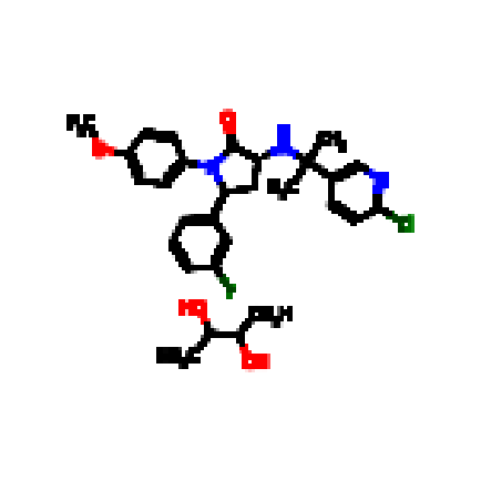 CC(C)(N[C@@H]1C[C@@H](c2cccc(F)c2)N(c2ccc(OC(F)(F)F)cc2)C1=O)c1ccc(Cl)nc1.O=C(O)C(O)C(O)C(=O)O